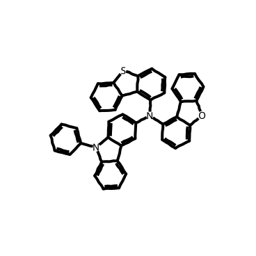 c1ccc(-n2c3ccccc3c3cc(N(c4cccc5oc6ccccc6c45)c4cccc5sc6ccccc6c45)ccc32)cc1